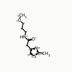 COCCCNC(=O)Cc1csc(C)n1